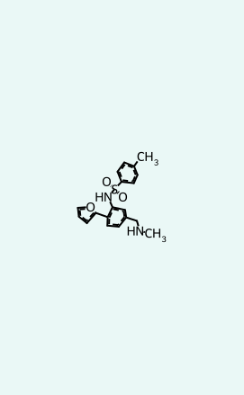 CNCc1ccc(-c2ccco2)c(NS(=O)(=O)c2ccc(C)cc2)c1